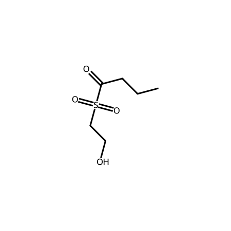 CCCC(=O)S(=O)(=O)CCO